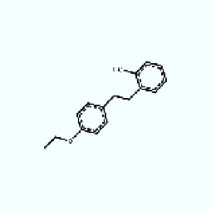 CCOc1ccc(CCc2ccccc2O)cc1